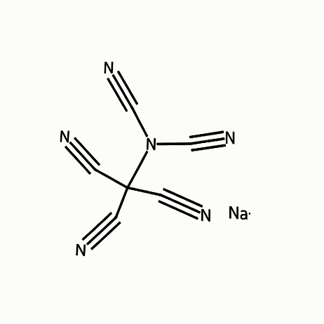 N#CN(C#N)C(C#N)(C#N)C#N.[Na]